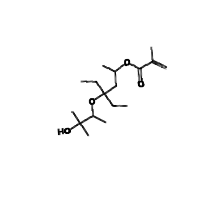 C=C(C)C(=O)OC(C)CC(CC)(CC)OC(C)C(C)(C)O